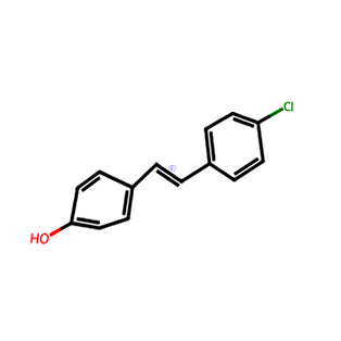 Oc1ccc(/C=C/c2ccc(Cl)cc2)cc1